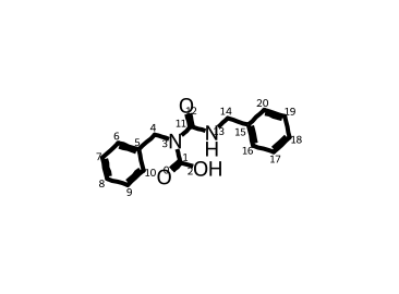 O=C(O)N(Cc1ccccc1)C(=O)NCc1ccccc1